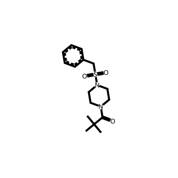 CC(C)(C)C(=O)N1CCN(S(=O)(=O)Cc2ccccc2)CC1